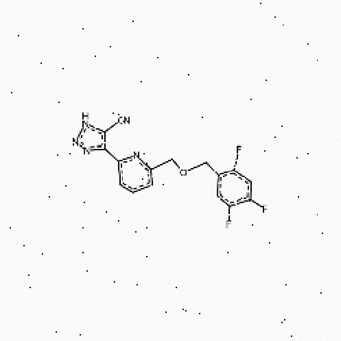 N#Cc1[nH]nnc1-c1cccc(COCc2cc(F)c(F)cc2F)n1